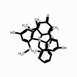 COC1=CC(=O)C=C(OC)C1[PH](Cc1ccccc1)(c1c(OC)cc(O)cc1OC)c1c(OC)cc(O)cc1OC